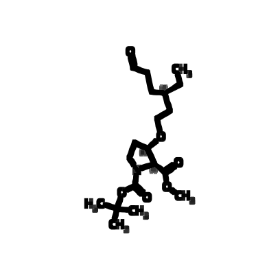 CC[C@H](CCC=O)CCO[C@@H]1CCN(C(=O)OC(C)(C)C)[C@@H]1C(=O)OC